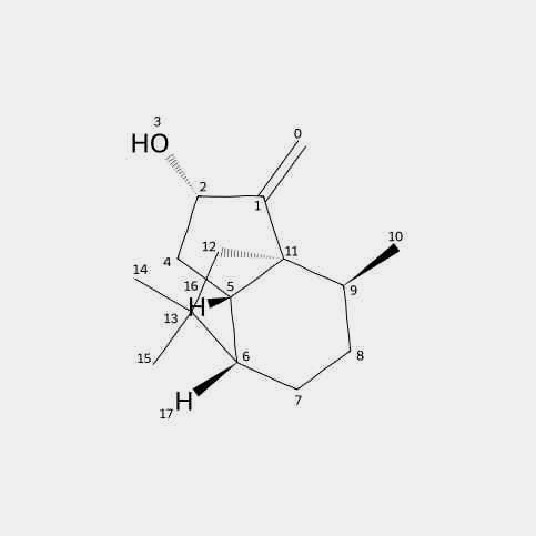 C=C1[C@@H](O)C[C@H]2[C@@H]3CC[C@H](C)[C@]12CC3(C)C